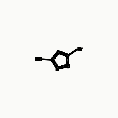 CC(C)c1cc(O)no1